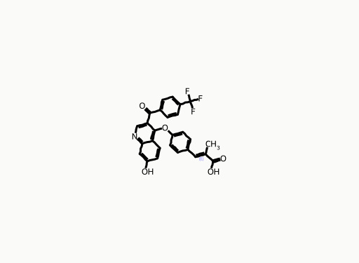 C/C(=C\c1ccc(Oc2c(C(=O)c3ccc(C(F)(F)F)cc3)cnc3cc(O)ccc23)cc1)C(=O)O